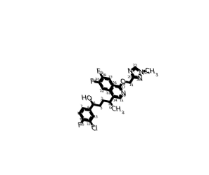 CC([CH]CC(O)c1ccc(F)c(Cl)c1)c1cnc(OCc2ncn(C)n2)c2cc(F)c(F)cc12